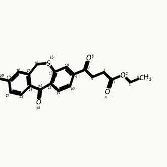 CCOC(=O)CCC(=O)c1ccc2c(c1)SCc1cc(Cl)ccc1C2=O